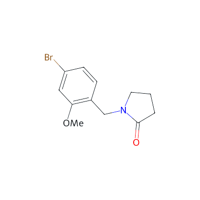 COc1cc(Br)ccc1CN1CCCC1=O